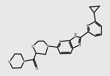 O=C(C1CN(c2ccc3nc(-c4cccc(C5CC5)n4)[nH]c3n2)CCO1)N1CCOCC1